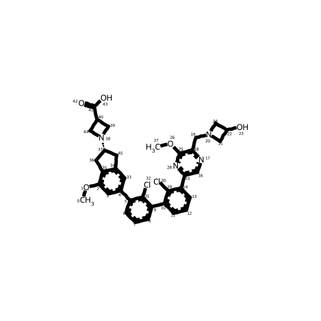 COc1cc(-c2cccc(-c3cccc(-c4cnc(CN5CC(O)C5)c(OC)n4)c3Cl)c2Cl)cc2c1C[C@H](N1CC(C(=O)O)C1)C2